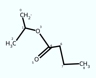 [CH2]C(C)OC(=O)CCC